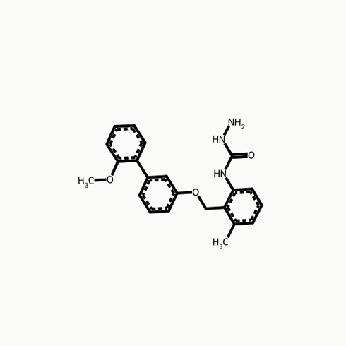 COc1ccccc1-c1cccc(OCc2c(C)cccc2NC(=O)NN)c1